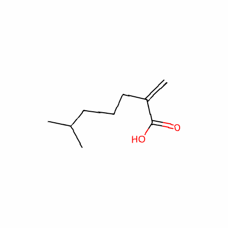 C=C(CCCC(C)C)C(=O)O